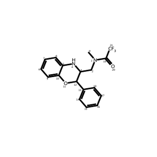 CN(CC1Nc2ccccc2OC1c1ccccc1)C(=O)C(F)(F)F